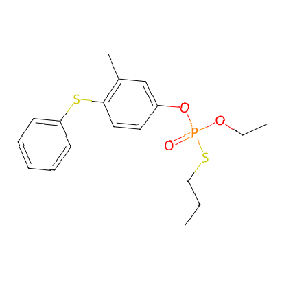 CCCSP(=O)(OCC)Oc1ccc(Sc2ccccc2)c(C)c1